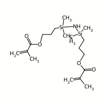 C=C(C)C(=O)OCCC[Si](C)(C)N[Si](C)(C)CCCOC(=O)C(=C)C